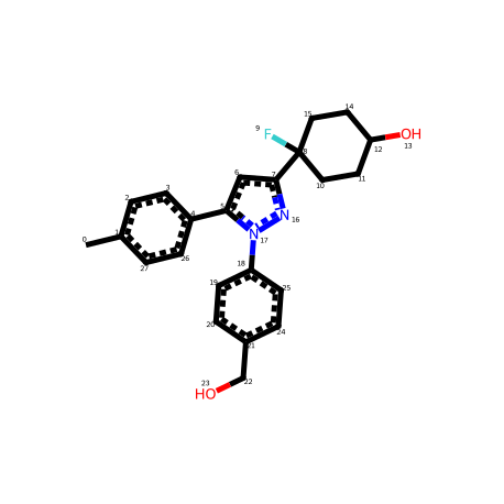 Cc1ccc(-c2cc(C3(F)CCC(O)CC3)nn2-c2ccc(CO)cc2)cc1